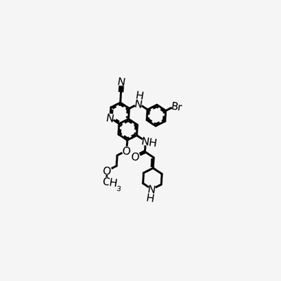 COCCOc1cc2ncc(C#N)c(Nc3cccc(Br)c3)c2cc1NC(=O)C=C1CCNCC1